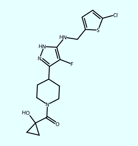 O=C(N1CCC(c2n[nH]c(NCc3ccc(Cl)s3)c2F)CC1)C1(O)CC1